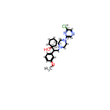 COc1cccc(C(CN2CCN(c3cncc(Cl)n3)CC2)C2(O)CCCCC2)c1